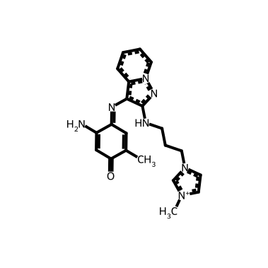 CC1=C/C(=N\c2c(NCCCn3cc[n+](C)c3)nn3ccccc23)C(N)=CC1=O